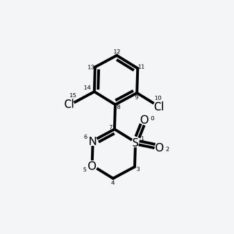 O=S1(=O)CCON=C1c1c(Cl)cccc1Cl